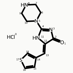 Cl.O=C1N=C(N2CCNCC2)N/C1=C\c1ccsc1